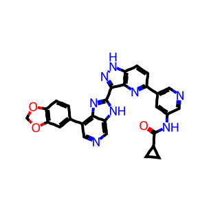 O=C(Nc1cncc(-c2ccc3[nH]nc(-c4nc5c(-c6ccc7c(c6)OCO7)cncc5[nH]4)c3n2)c1)C1CC1